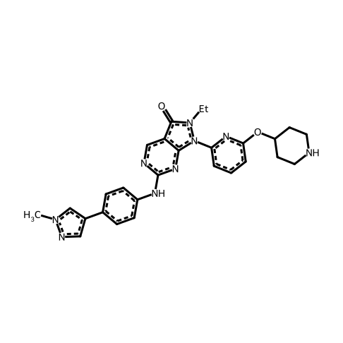 CCn1c(=O)c2cnc(Nc3ccc(-c4cnn(C)c4)cc3)nc2n1-c1cccc(OC2CCNCC2)n1